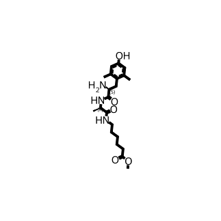 COC(=O)CCCCCNC(=O)[C@@H](C)NC(=O)[C@@H](N)Cc1c(C)cc(O)cc1C